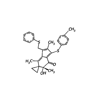 CC1=C(CSc2ccccc2)C2=C(C)C3(CC3)[C@@](C)(O)C(=O)C2=C1Sc1ccc(C)cc1